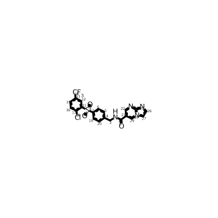 O=C(NCc1ccc(S(=O)(=O)c2cc(C(F)(F)F)ccc2Cl)cc1)c1cnc2nccn2c1